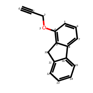 C#CCOc1cccc2c1Cc1ccccc1-2